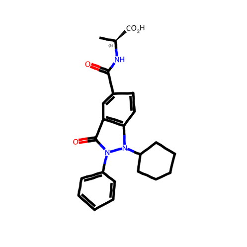 C[C@H](NC(=O)c1ccc2c(c1)c(=O)n(-c1ccccc1)n2C1CCCCC1)C(=O)O